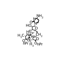 C=C[C@]1(COP(=O)(N[C@@H](C)C(=O)OCCC)N[C@@H](C)C(=O)OCCC)O[C@@H](n2ccc(N)nc2=O)[C@H](O)[C@@H]1F